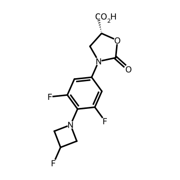 O=C(O)[C@H]1CN(c2cc(F)c(N3CC(F)C3)c(F)c2)C(=O)O1